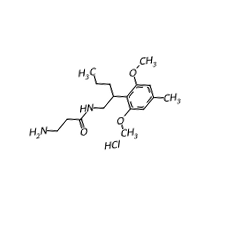 CCCC(CNC(=O)CCN)c1c(OC)cc(C)cc1OC.Cl